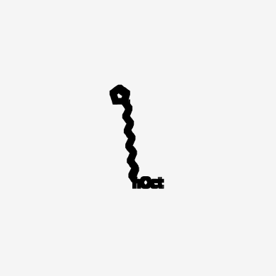 CCCCCCCCC=CCCCCCCCC[C]1C=CCC1